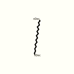 [CH2]CCCCCCCCCCCCCCCCCCCCCCCCCCCCCCCCCC[CH2]